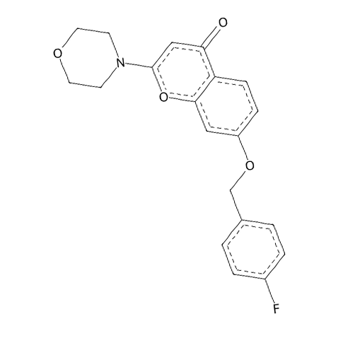 O=c1cc(N2CCOCC2)oc2cc(OCc3ccc(F)cc3)ccc12